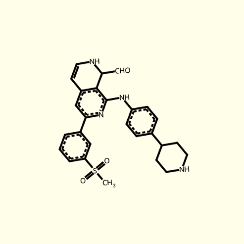 CS(=O)(=O)c1cccc(-c2cc3c(c(Nc4ccc(C5CCNCC5)cc4)n2)C(C=O)NC=C3)c1